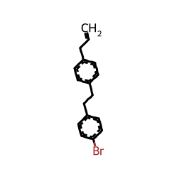 C=CCc1ccc(CCc2ccc(Br)cc2)cc1